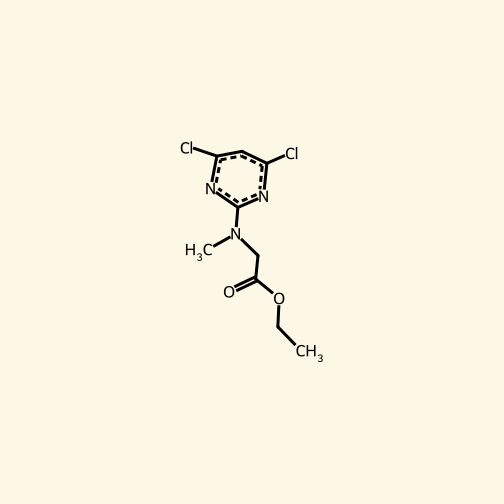 CCOC(=O)CN(C)c1nc(Cl)cc(Cl)n1